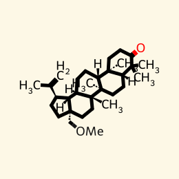 C=C(C)[C@@H]1CC[C@]2(COC)CC[C@]3(C)[C@H](CC[C@@H]4[C@@]5(C)CCC(=O)C(C)(C)[C@@H]5CC[C@]43C)[C@@H]12